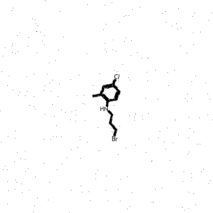 Cc1cc(Cl)ccc1NCCCBr